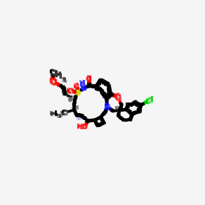 COCC[C@H]1C[C@H](C)/C=C/C(O)C2CCC2CN2C[C@@]3(CCCc4cc(Cl)ccc43)COc3ccc(cc32)C(=O)NS1(=O)=O